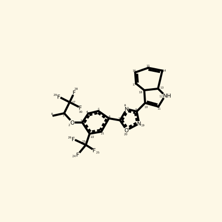 CC(Oc1ccc(-c2nc(C3=CNC4C=CC=CC34)no2)cc1C(F)(F)F)C(F)(F)F